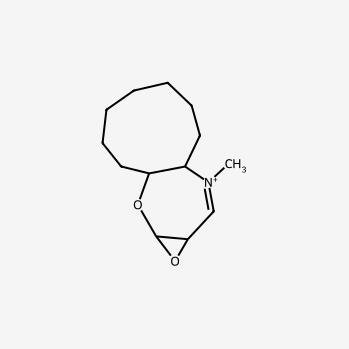 C[N+]1=CC2OC2OC2CCCCCCCC21